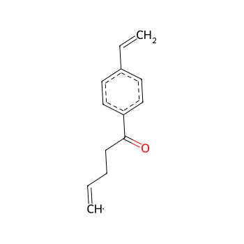 [CH]=CCCC(=O)c1ccc(C=C)cc1